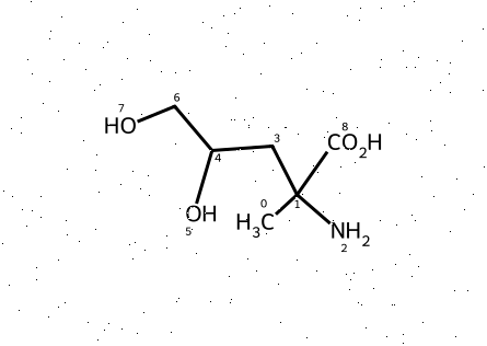 CC(N)(CC(O)CO)C(=O)O